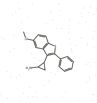 COc1ccc2sc(-c3ccccc3)c(C3CC3N)c2c1